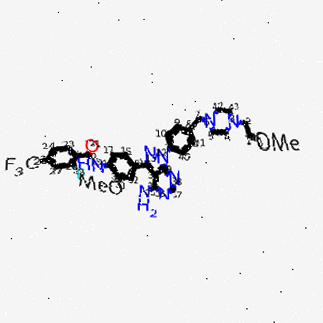 COCCN1CCN(Cc2ccc(-n3nc(-c4ccc(NC(=O)c5ccc(C(F)(F)F)cc5F)c(OC)c4)c4c(N)ncnc43)cc2)CC1